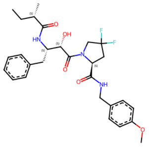 CC[C@H](C)C(=O)N[C@@H](Cc1ccccc1)[C@H](O)C(=O)N1CC(F)(F)C[C@H]1C(=O)NCc1ccc(OC)cc1